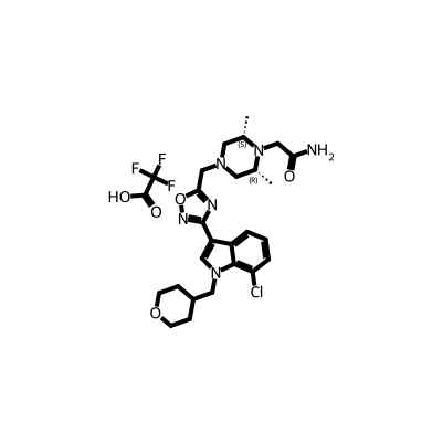 C[C@@H]1CN(Cc2nc(-c3cn(CC4CCOCC4)c4c(Cl)cccc34)no2)C[C@H](C)N1CC(N)=O.O=C(O)C(F)(F)F